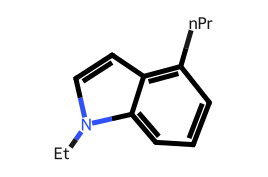 CCCc1cccc2c1ccn2CC